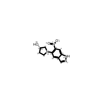 O=[N+]([O-])c1cc2[nH]ncc2cc1N1CC[C@H](O)C1